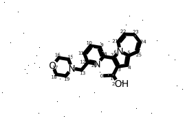 CC(O)c1cc2n(c1-c1cccc(CN3CCOCC3)n1)C=CCC=C2